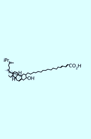 CC(C)[C@@H](C)CC[C@@H](C)[C@H]1CC[C@H]2[C@@H]3CC=C4CC(O)C(CCCCCCCCCCCCCC=CC=CC(=O)O)C[C@]4(C)[C@H]3CC[C@]12C